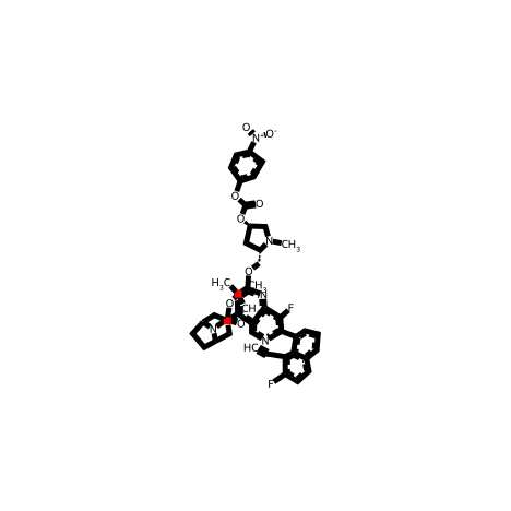 C#Cc1c(F)ccc2cccc(-c3ncc4c(N5CC6CCC(C5)N6C(=O)OC(C)(C)C)nc(OC[C@@H]5C[C@@H](OC(=O)Oc6ccc([N+](=O)[O-])cc6)CN5C)nc4c3F)c12